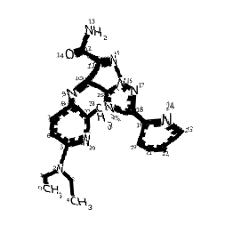 CCN(CC)c1ccc(/N=C2/C(C(N)=O)=Nn3nc(-c4ccccn4)nc32)c(C)n1